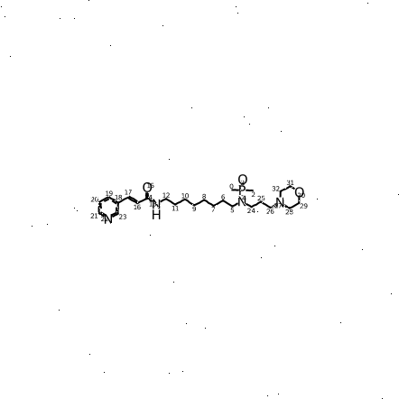 CP(C)(=O)N(CCCCCCCCNC(=O)C=Cc1cccnc1)CCCN1CCOCC1